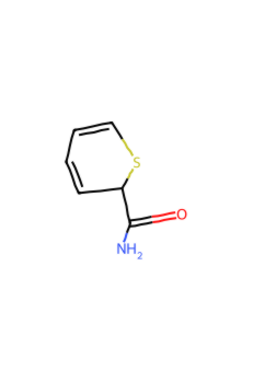 NC(=O)C1C=CC=CS1